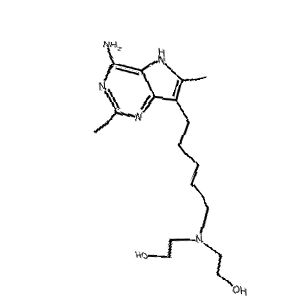 Cc1nc(N)c2[nH]c(C)c(CCCCCN(CCO)CCO)c2n1